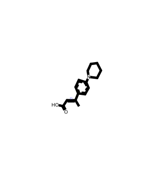 C/C(=C\C(=O)O)c1ccc(N2CCCCC2)cc1